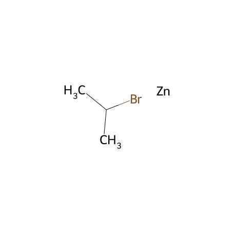 CC(C)Br.[Zn]